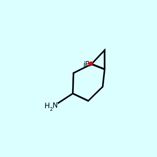 CC(C)C12CCC(N)CC1C2